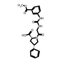 COC(=O)c1cccc(NC(=O)NCC(=O)N2C[C@H](c3ccccc3)C[C@H]2C(=O)O)c1